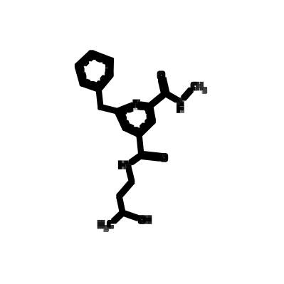 CNC(=O)c1cc(C(=O)NCCC(C)O)cc(Cc2ccccc2)n1